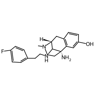 CN1CC[C@]2(N)c3cc(O)ccc3C[C@@H]1C2NCCc1ccc(F)cc1